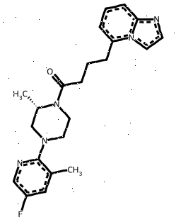 Cc1cc(F)cnc1N1CCN(C(=O)CCCc2cccc3nccn23)[C@@H](C)C1